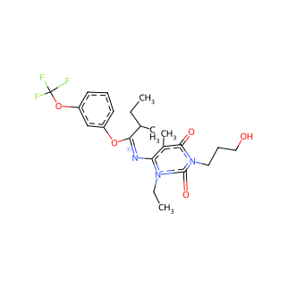 CCC(C)/C(=N\c1c(C)c(=O)n(CCCO)c(=O)n1CC)Oc1cccc(OC(F)(F)F)c1